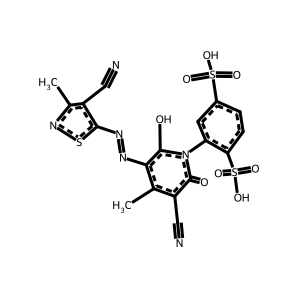 Cc1nsc(N=Nc2c(C)c(C#N)c(=O)n(-c3cc(S(=O)(=O)O)ccc3S(=O)(=O)O)c2O)c1C#N